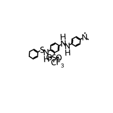 CN(C)c1ccc(NNc2ccc(NSC3=CCCC=C3)c(S(=O)(=O)C(F)(F)F)c2)cc1